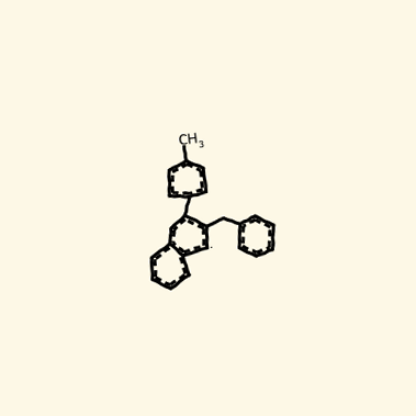 Cc1ccc(-c2cc3ccccc3[c]c2Cc2ccccc2)cc1